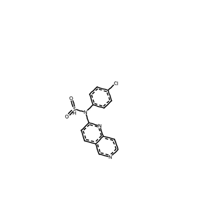 O=[SH](=O)N(c1ccc(Cl)cc1)c1ccc2cnccc2n1